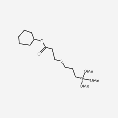 CO[Si](CCCSCCC(=O)OC1CCCCC1)(OC)OC